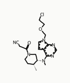 C[C@@H]1CCN(C(=O)CC#N)C[C@@H]1N(C)c1ncnc2c1ccn2COCCCl